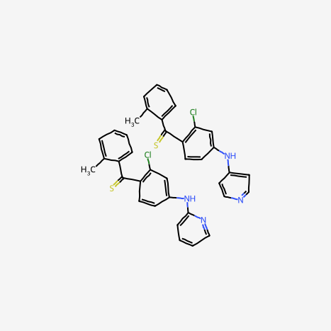 Cc1ccccc1C(=S)c1ccc(Nc2ccccn2)cc1Cl.Cc1ccccc1C(=S)c1ccc(Nc2ccncc2)cc1Cl